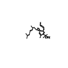 C/C=C/c1cc(C(C)(C)O)c(C)cc1OCCC(C)CCCC(C)C